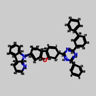 C1=CC(c2nc(-c3ccccc3)nc(-c3cccc(-c4ccccc4)c3)n2)Cc2oc3cc(-n4c5ccccc5c5cccnc54)ccc3c21